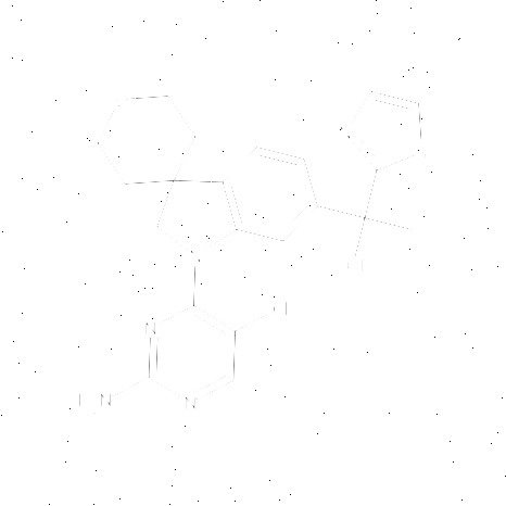 CC(O)(c1ccc2c(c1)N(c1nc(N)ncc1Cl)CC21CCSCC1)c1nccs1